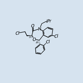 CC(C)CN1C(=O)[C@H](CCCl)O[C@@H](c2ccccc2Cl)c2cc(Cl)ccc21